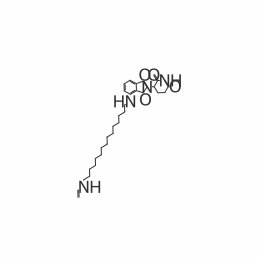 C=CNCCCCCCCCCCCCCCCNc1cccc2c1C(=O)N(C1CCC(=O)NC1=O)C2=O